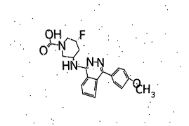 COc1ccc(-c2nnc(N[C@@H]3C[C@@H](F)CN(C(=O)O)C3)c3ccccc23)cc1